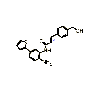 Nc1ccc(-c2cccs2)cc1NC(=O)/C=C/c1ccc(CO)cc1